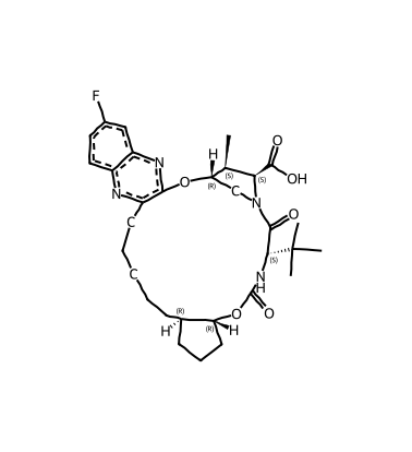 C[C@@H]1[C@@H]2CN(C(=O)[C@H](C(C)(C)C)NC(=O)O[C@@H]3CCC[C@H]3CCCCCc3nc4ccc(F)cc4nc3O2)[C@@H]1C(=O)O